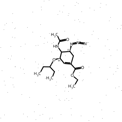 CCOC(=O)C1=C[C@@H](OC(CC)CC)C(NC(C)=O)[C@@H](N=[N+]=[N-])C1